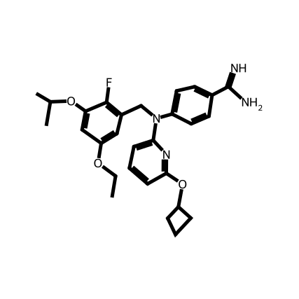 CCOc1cc(CN(c2ccc(C(=N)N)cc2)c2cccc(OC3CCC3)n2)c(F)c(OC(C)C)c1